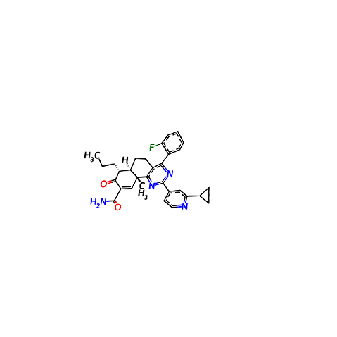 CCC[C@H]1C(=O)C(C(N)=O)=C[C@@]2(C)c3nc(-c4ccnc(C5CC5)c4)nc(-c4ccccc4F)c3CC[C@H]12